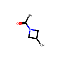 CC(C)C(=O)N1CC(C#N)C1